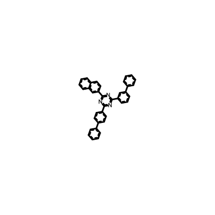 c1ccc(-c2ccc(-c3nc(-c4cccc(-c5ccccc5)c4)nc(-c4ccc5ccccc5c4)n3)cc2)cc1